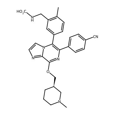 Cc1ccc(-c2c(-c3ccc(C#N)cc3)nc(OC[C@@H]3CCCN(C)C3)c3nccn23)cc1CNC(=O)O